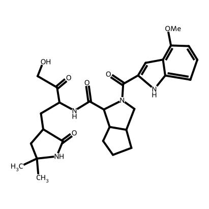 COc1cccc2[nH]c(C(=O)N3CC4CCCC4C3C(=O)NC(CC3CC(C)(C)NC3=O)C(=O)CO)cc12